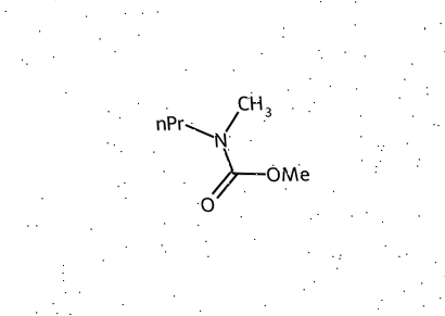 [CH2]OC(=O)N(C)CCC